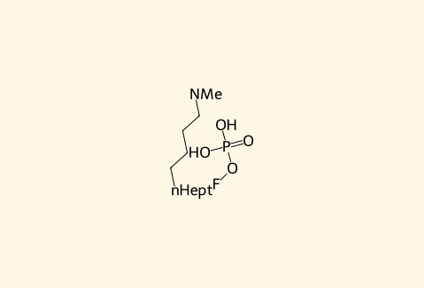 CCCCCCCCCCCNC.O=P(O)(O)OF